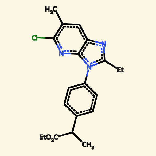 CCOC(=O)C(C)c1ccc(-n2c(CC)nc3cc(C)c(Cl)nc32)cc1